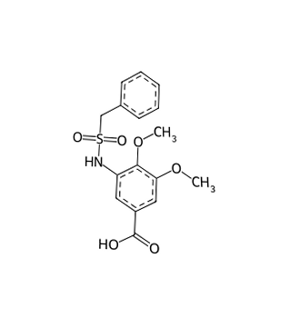 COc1cc(C(=O)O)cc(NS(=O)(=O)Cc2ccccc2)c1OC